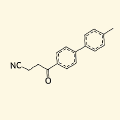 Cc1ccc(-c2ccc(C(=O)CCC#N)cc2)cc1